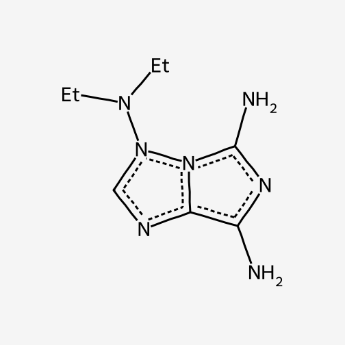 CCN(CC)n1cnc2c(N)nc(N)n21